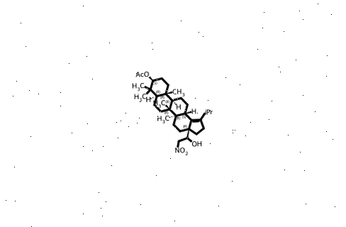 CC(=O)O[C@H]1CC[C@]2(C)[C@H]3CC[C@@H]4C5=C(C(C)C)CC[C@]5(C(O)C[N+](=O)[O-])CC[C@@]4(C)[C@]3(C)CC[C@H]2C1(C)C